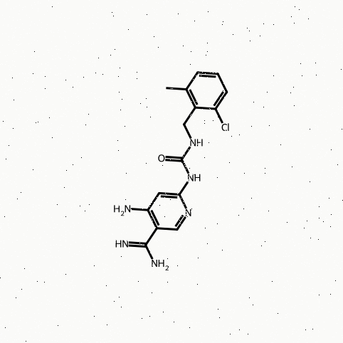 Cc1cccc(Cl)c1CNC(=O)Nc1cc(N)c(C(=N)N)cn1